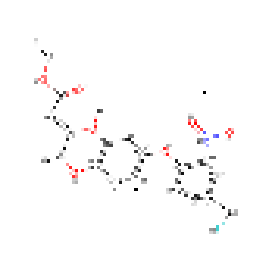 CCOC(=O)/C=C(\OC)C(C)Oc1ccc(Oc2ccc(CF)cc2[N+](=O)[O-])cc1